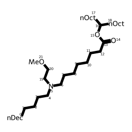 CCCCCCCCCCCCCCN(CCCCCCCC(=O)OC(CCCCCCCC)CCCCCCCC)CCOC